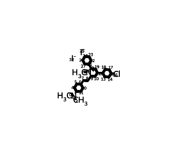 CN(C)c1ccc(/C=C/c2cc(-c3ccc(Cl)cc3)cc(-c3ccc(F)cc3)[n+]2C)cc1.[I-]